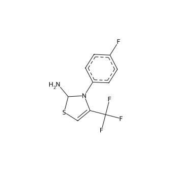 NC1SC=C(C(F)(F)F)N1c1ccc(F)cc1